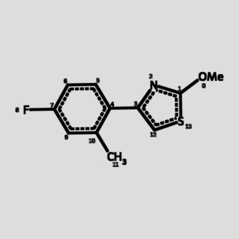 COc1nc(-c2ccc(F)cc2C)cs1